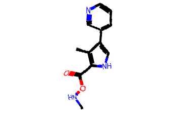 CNOC(=O)c1[nH]cc(-c2cccnc2)c1C